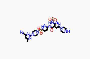 Cc1cc(C#N)nc(N2CCN(S(=O)(=O)c3ccc(NC(=O)c4cc(N5CCNCC5)nnc4N(C)S(C)(=O)=O)nn3)CC2)n1